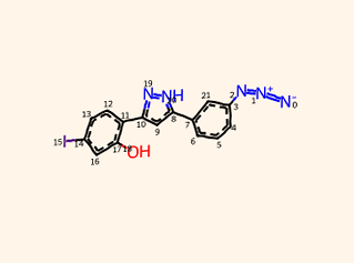 [N-]=[N+]=Nc1cccc(-c2cc(-c3ccc(I)cc3O)n[nH]2)c1